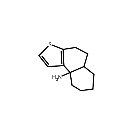 NC12CCCCC1CCc1sccc12